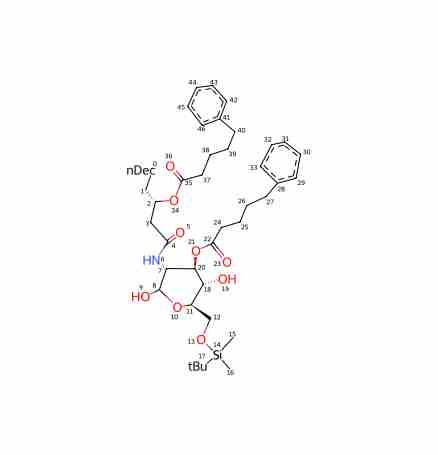 CCCCCCCCCCC[C@@H](CC(=O)N[C@H]1C(O)O[C@H](CO[Si](C)(C)C(C)(C)C)[C@@H](O)[C@@H]1OC(=O)CCCCc1ccccc1)OC(=O)CCCCc1ccccc1